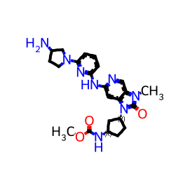 COC(=O)N[C@@H]1CC[C@@H](n2c(=O)n(C)c3cnc(Nc4cccc(N5CCC(N)C5)n4)cc32)C1